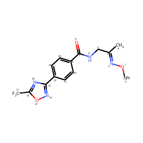 CCCON=C(C)CNC(=O)c1ccc(-c2noc(C(F)(F)F)n2)cc1